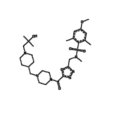 COc1cc(C)c(S(=O)(=O)N(C)Cc2nnc(C(=O)N3CCN(CC4CCN(CC(C)(C)O)CC4)CC3)o2)c(C)c1